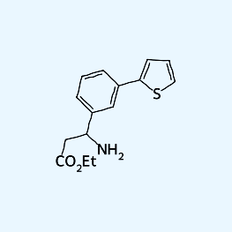 CCOC(=O)CC(N)c1cccc(-c2cccs2)c1